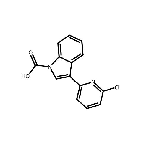 O=C(O)n1cc(-c2cccc(Cl)n2)c2ccccc21